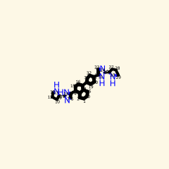 c1ccc2c(-c3cnc([C@@H]4CCCN4)[nH]3)ccc(-c3ccc(-c4cnc([C@@H]5CCCN5)[nH]4)cc3)c2c1